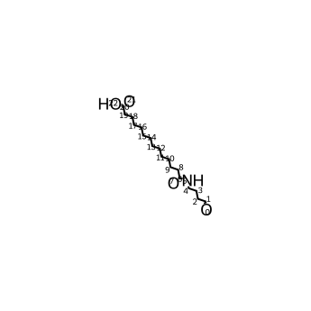 O=CCCCNC(=O)CCCCCCCCCCCCC(=O)O